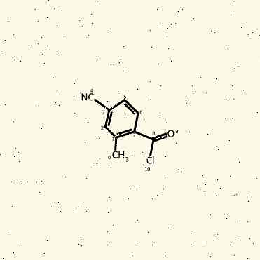 Cc1cc(C#N)ccc1C(=O)Cl